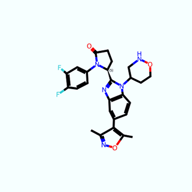 Cc1noc(C)c1-c1ccc2c(c1)nc([C@@H]1CCC(=O)N1c1ccc(F)c(F)c1)n2C1CCONC1